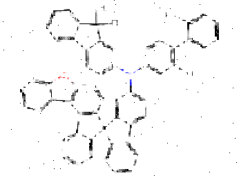 Cc1ccccc1-c1ccc(N(c2ccc3c(c2)C(C)(C)c2ccccc2-3)c2ccc3c(c2)C2(c4ccccc4-3)c3ccccc3-c3c2ccc2oc4ccccc4c32)cc1C